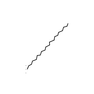 [C]CCCCCCCCCCCCCCCCCCC